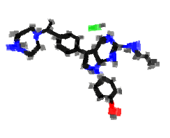 CC(c1ccc(-c2cn([C@H]3CC[C@H](O)CC3)c3nc(NCCC(F)(F)F)ncc23)cc1)N1CCNCC1.Cl